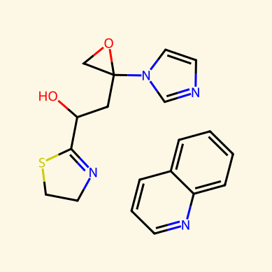 OC(CC1(n2ccnc2)CO1)C1=NCCS1.c1ccc2ncccc2c1